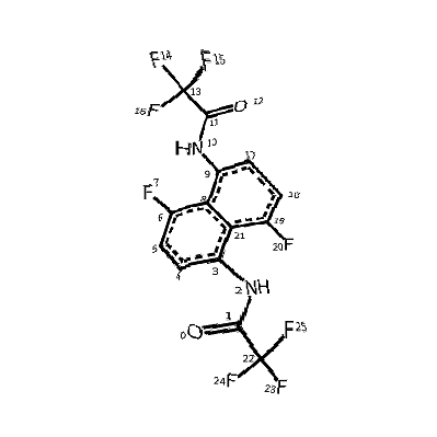 O=C(Nc1ccc(F)c2c(NC(=O)C(F)(F)F)ccc(F)c12)C(F)(F)F